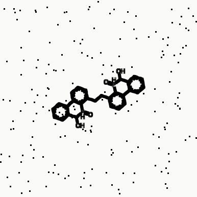 O=[PH]1c2c(CCc3cccc4c3[PH](=O)C(O)c3ccccc3-4)cccc2-c2ccccc2C1O